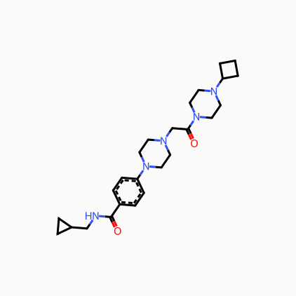 O=C(NCC1CC1)c1ccc(N2CCN(CC(=O)N3CCN(C4CCC4)CC3)CC2)cc1